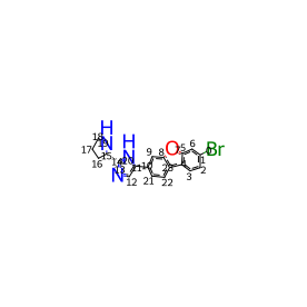 Brc1ccc2c(c1)oc1cc(-c3cnc([C@@H]4CCCN4)[nH]3)ccc12